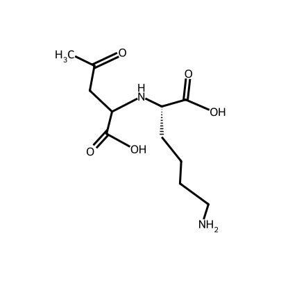 CC(=O)CC(N[C@@H](CCCCN)C(=O)O)C(=O)O